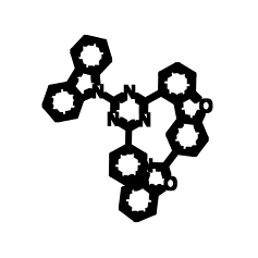 c1ccc(-c2nc(-c3cccc4oc5ccc(-c6nc7ccccc7o6)cc5c34)nc(-n3c4ccccc4c4ccccc43)n2)cc1